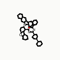 c1ccc(-c2ccc(-c3nc(-c4ccccc4)nc(-c4c(-n5c6ccccc6c6cc7ccccc7cc65)ccc5oc6ccccc6c45)n3)cc2)cc1